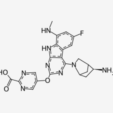 CNc1cc(F)cc2c1[nH]c1nc(Oc3cnc(C(=O)O)nc3)nc(N3CC4CC3C[C@@H]4N)c12